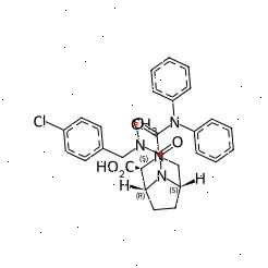 CN(Cc1ccc(Cl)cc1)C(=O)N1[C@H]2CC[C@@H]1[C@@H](C(=O)O)N(C(=O)N(c1ccccc1)c1ccccc1)C2